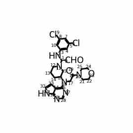 O=C[C@H](Nc1cc(Cl)cc(Cl)c1)N1CCCC(N(CC(=O)N2CCOCC2)c2ncnc3[nH]ccc23)C1